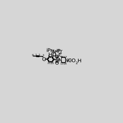 CC#CCOc1ccc(S(=O)(=O)N2CCN(C(=O)O)CC2C(=O)O)cc1.CC(C)NC(C)C